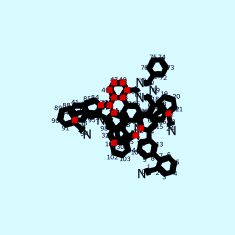 N#Cc1ccccc1-c1ccc2c(c1)c1cc(-c3ccccc3C#N)ccc1n2-c1cccc(-c2nc(-c3ccccc3)nc(-c3ccccc3)n2)c1-c1cccc(-c2c(-c3nc(-c4ccccc4)nc(-c4ccccc4)n3)cccc2-n2c3ccc(-c4ccccc4C#N)cc3c3cc(-c4ccccc4C#N)ccc32)c1